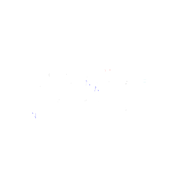 N#Cc1cccc(C2=NN(C(=O)c3cccc(F)c3)CC2)c1